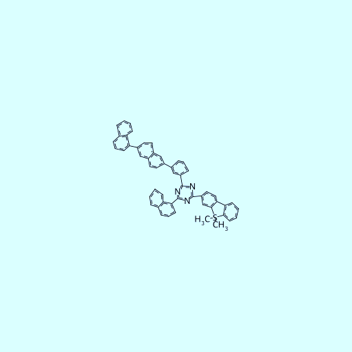 CS1(C)c2ccccc2-c2ccc(-c3nc(-c4cccc(-c5ccc6cc(-c7cccc8ccccc78)ccc6c5)c4)nc(-c4cccc5ccccc45)n3)cc21